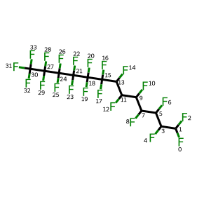 FC(F)C(F)C(F)C(F)C(F)C(F)C(F)C(F)(F)C(F)(F)C(F)(F)C(F)(F)C(F)(F)C(F)(F)F